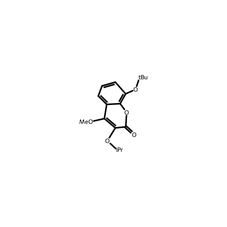 COc1c(OC(C)C)c(=O)oc2c(OC(C)(C)C)cccc12